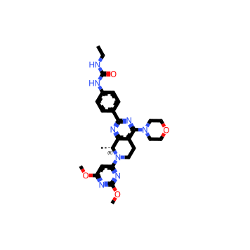 CCNC(=O)Nc1ccc(-c2nc3c(c(N4CCOCC4)n2)CCN(c2cc(OC)nc(OC)n2)[C@@H]3C)cc1